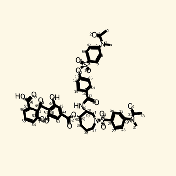 CC(=O)N(C)c1ccc(S(=O)(=O)Oc2ccc(C(=O)N[C@H]3CN(S(=O)(=O)c4ccc(N(C)C(C)=O)cc4)CCC[C@@H]3OC(=O)c3cc(O)c(C(=O)c4c(O)cccc4C(=O)O)c(O)c3)cc2)cc1